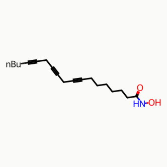 CCCCC#CCC#CCC#CCCCCCCC(=O)NO